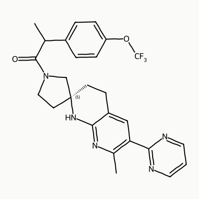 Cc1nc2c(cc1-c1ncccn1)CC[C@@]1(CCN(C(=O)C(C)c3ccc(OC(F)(F)F)cc3)C1)N2